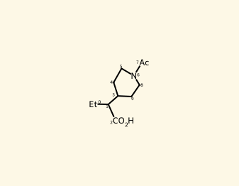 CCC(C(=O)O)C1CCN(C(C)=O)CC1